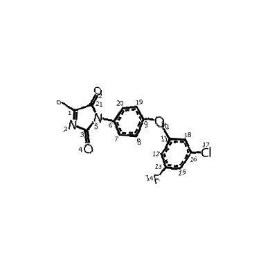 CC1=NC(=O)N(c2ccc(Oc3cc(F)cc(Cl)c3)cc2)C1=O